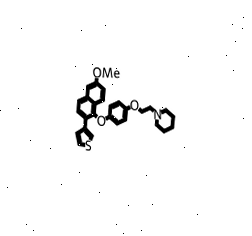 COc1ccc2c(Oc3ccc(OCCN4CCCCC4)cc3)c(-c3ccsc3)ccc2c1